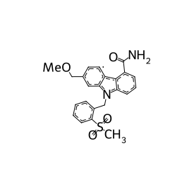 COCc1c[c]c2c3c(C(N)=O)cccc3n(Cc3ccccc3S(C)(=O)=O)c2c1